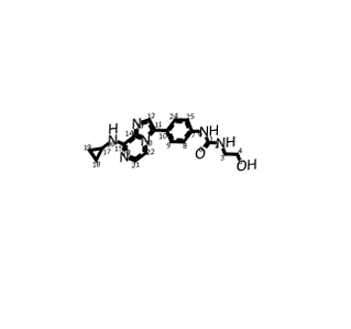 O=C(NCCO)Nc1ccc(-c2cnc3c(NC4CC4)nccn23)cc1